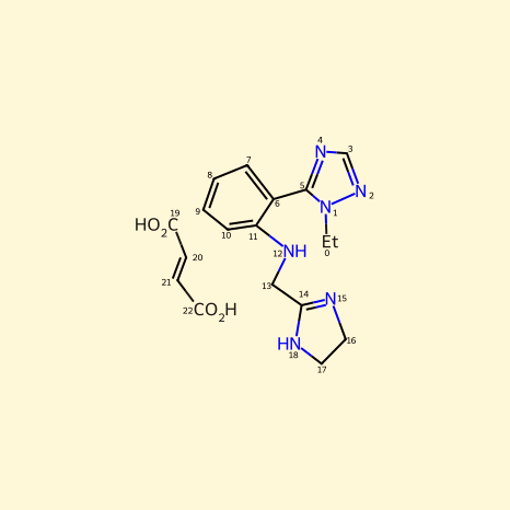 CCn1ncnc1-c1ccccc1NCC1=NCCN1.O=C(O)C=CC(=O)O